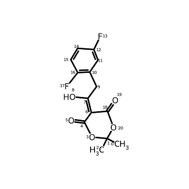 CC1(C)OC(=O)C(=C(O)Cc2cc(F)ccc2F)C(=O)O1